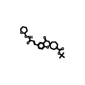 CC(C)(C)OC(=O)N1CCCC2(CC1)CC(=O)c1cc(C=CC(=O)NOC3CCCCO3)ccc1O2